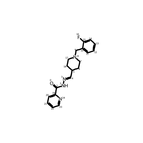 O=C(N/N=C/C1CCN(Cc2ccccc2F)CC1)c1ccccn1